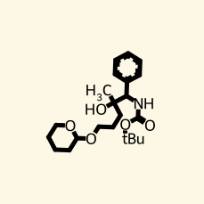 CC(C)(C)OC(=O)NC(c1ccccc1)C(C)(O)CCCOC1CCCCO1